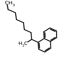 [CH2]C(CCCCCCC)c1cccc2ccccc12